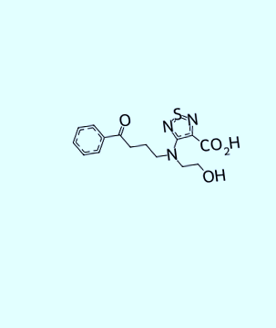 O=C(CCCN(CCO)c1nsnc1C(=O)O)c1ccccc1